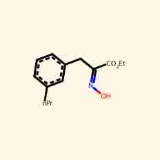 CCCc1cccc(CC(=NO)C(=O)OCC)c1